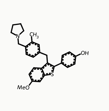 COc1ccc2c(Cc3ccc(CN4CCCC4)c(C)c3)c(-c3ccc(O)cc3)sc2c1